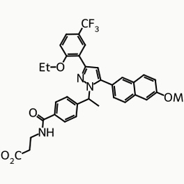 CCOc1ccc(C(F)(F)F)cc1-c1cc(-c2ccc3cc(OC)ccc3c2)n(C(C)c2ccc(C(=O)NCCC(=O)O)cc2)n1